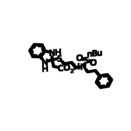 CCCCS(=O)(=O)N(CCCSC1(CC(=O)O)Nc2ccccc2N1)CCc1ccccc1